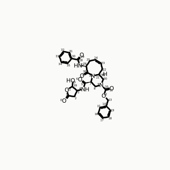 O=C1CC(NC(=O)[C@@H]2CN(C(=O)OCc3ccccc3)C[C@@H]3C/C=C\C[C@H](NC(=O)c4ccccc4)C(=O)N32)C(O)O1